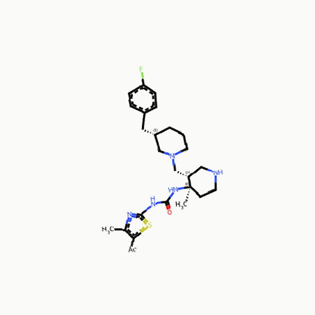 CC(=O)c1sc(NC(=O)N[C@]2(C)CCNC[C@H]2CN2CCC[C@@H](Cc3ccc(F)cc3)C2)nc1C